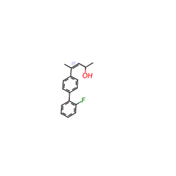 C/C(=C/C(C)O)c1ccc(-c2ccccc2F)cc1